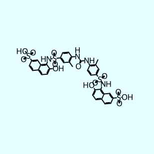 Cc1cc(S(=O)(=O)Nc2c(O)ccc3ccc(S(=O)(=O)O)cc23)ccc1NC(=O)Nc1ccc(S(=O)(=O)Nc2c(O)ccc3ccc(S(=O)(=O)O)cc23)cc1C